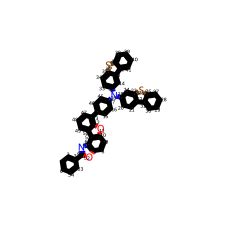 c1ccc(-c2nc3c(ccc4oc5c(-c6ccc(N(c7ccc8c(c7)sc7ccccc78)c7ccc8sc9ccccc9c8c7)cc6)cccc5c43)o2)cc1